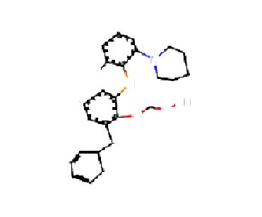 COCOc1c(CC2C=CC=CC2)cccc1Pc1c(C)cccc1N1CCCCC1